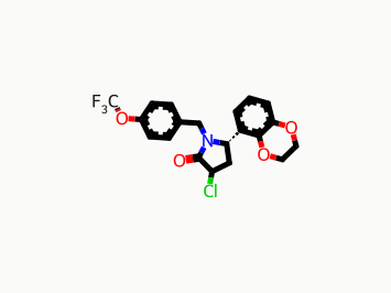 O=C1C(Cl)C[C@@H](c2cccc3c2OCCO3)N1Cc1ccc(OC(F)(F)F)cc1